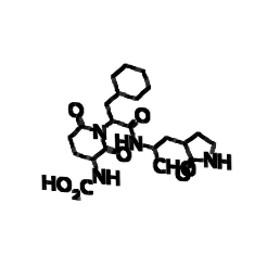 O=CC(CC1CCNC1=O)NC(=O)C(CC1CCCCC1)N1C(=O)CCC(NC(=O)O)C1=O